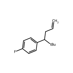 C=CCC(c1ccc(F)cc1)C(C)(C)C